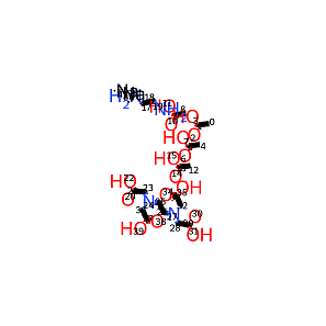 CC(=O)O.CC(=O)O.CC(=O)O.CC(=O)O.NCCN.O=C(O)CN(CCN(CC(=O)O)CC(=O)O)CC(=O)O.[Na].[Na]